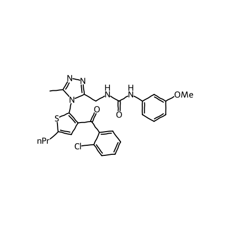 CCCc1cc(C(=O)c2ccccc2Cl)c(-n2c(C)nnc2CNC(=O)Nc2cccc(OC)c2)s1